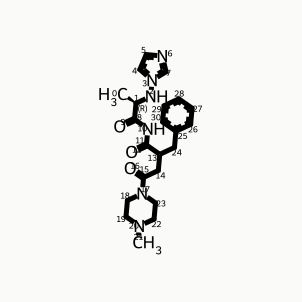 C[C@@H](Nn1ccnc1)C(=O)NC(=O)C(CC(=O)N1CCN(C)CC1)Cc1ccccc1